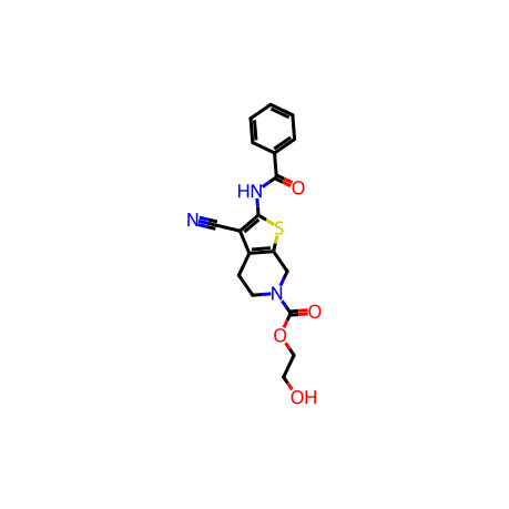 N#Cc1c(NC(=O)c2ccccc2)sc2c1CCN(C(=O)OCCO)C2